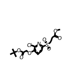 COC(=O)CCS(=O)(=O)c1ccc(OCC(=O)OC(C)(C)C)c(Cl)n1